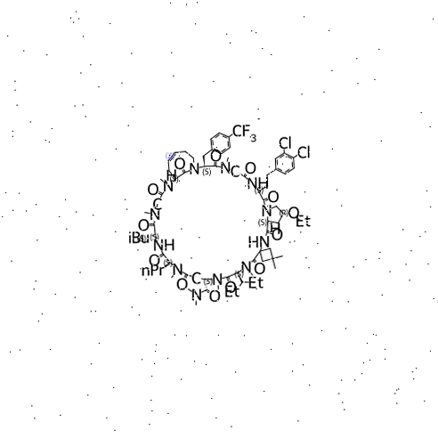 CCC[C@H]1C(=O)N[C@@H]([C@@H](C)CC)C(=O)N(C)CC(=O)N(C)[C@H]2C/C=C\CCN(C2=O)[C@@H](Cc2ccc(C(F)(F)F)cc2)C(=O)N(C)CC(=O)N[C@@H](CCc2ccc(Cl)c(Cl)c2)C(=O)N2C[C@H](OCC)C[C@H]2C(=O)NC2(CC(C)(C)C2)C(=O)N(C)[C@@H](C(CC)CC)C(=O)N(C)[C@H](C(=O)N(C)C)CC(=O)N1C